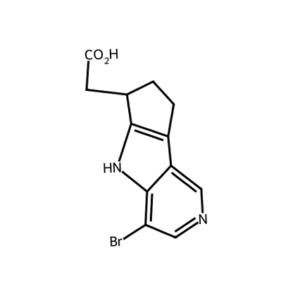 O=C(O)CC1CCc2c1[nH]c1c(Br)cncc21